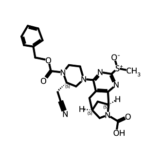 C[S+]([O-])c1nc2c(c(N3CCN(C(=O)OCc4ccccc4)[C@@H](CC#N)C3)n1)C[C@H]1C[C@@H]2N(C(=O)O)C1